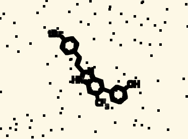 CC(C)(C)c1ccc(C=Cc2nc3cc(-c4cccc(O)c4)c(C(F)(F)F)cc3[nH]2)cc1